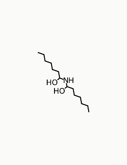 CCCCCCC(O)NC(O)CCCCCC